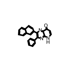 O=c1cc[nH]c2nc(-c3ccccc3)c(-c3ccc4ccccc4c3)nc12